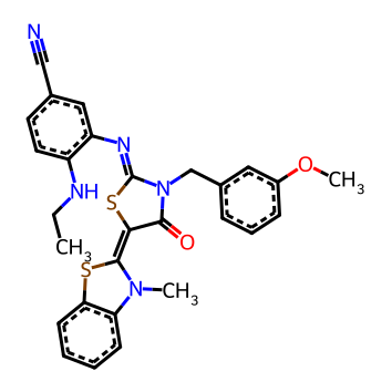 CCNc1ccc(C#N)cc1/N=C1\S/C(=C2\Sc3ccccc3N2C)C(=O)N1Cc1cccc(OC)c1